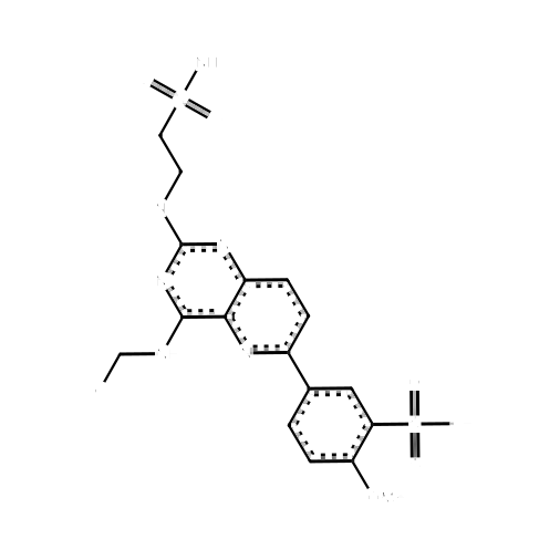 COc1ccc(-c2ccc3nc(NCCS(N)(=O)=O)nc(NCC(F)(F)F)c3n2)cc1S(C)(=O)=O